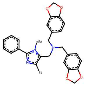 CCCCn1c(-c2ccccc2)nc(CC)c1CN(Cc1ccc2c(c1)OCO2)Cc1ccc2c(c1)OCO2